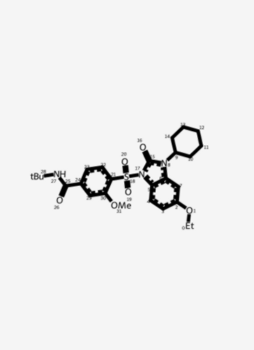 CCOc1ccc2c(c1)n(C1CCCCC1)c(=O)n2S(=O)(=O)c1ccc(C(=O)NC(C)(C)C)cc1OC